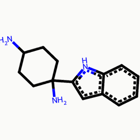 NC1CCC(N)(c2cc3ccccc3[nH]2)CC1